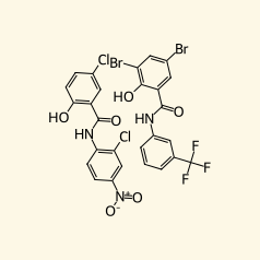 O=C(Nc1ccc([N+](=O)[O-])cc1Cl)c1cc(Cl)ccc1O.O=C(Nc1cccc(C(F)(F)F)c1)c1cc(Br)cc(Br)c1O